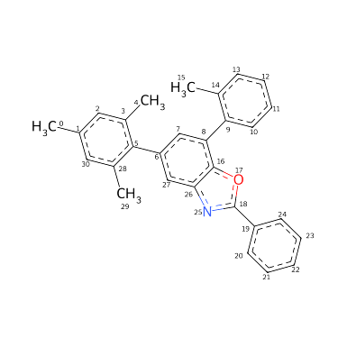 Cc1cc(C)c(-c2cc(-c3ccccc3C)c3oc(-c4ccccc4)nc3c2)c(C)c1